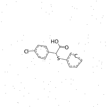 O=C(O)C(Sc1ccccc1)c1ccc(Cl)cc1